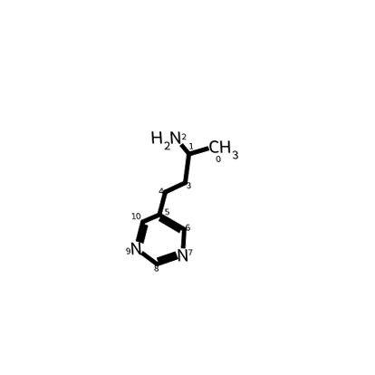 CC(N)CCc1cncnc1